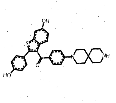 O=C(c1ccc(N2CCC3(CCNCC3)CC2)cc1)c1c(-c2ccc(O)cc2)sc2cc(O)ccc12